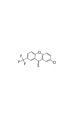 FC(F)(F)c1ccc2oc3ccc(Cl)cc3c(=S)c2c1